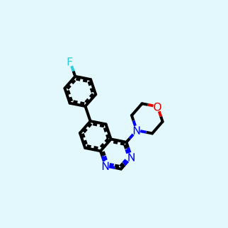 Fc1ccc(-c2ccc3ncnc(N4CCOCC4)c3c2)cc1